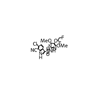 COc1nc(NS(=O)(=O)c2c[nH]c3c(C#N)c(Cl)ccc23)nc(OC)c1OC(F)CF